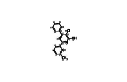 Cc1cccc(-c2nc(O)c(Cl)c(-c3ccccc3)n2)n1